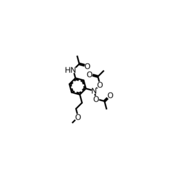 COCCc1ccc(NC(C)=O)cc1N(OC(C)=O)OC(C)=O